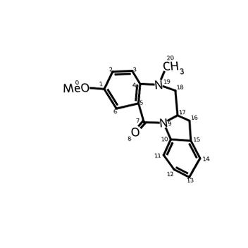 COc1ccc2c(c1)C(=O)N1c3ccccc3CC1CN2C